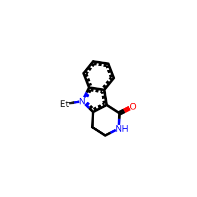 CCn1c2c(c3ccccc31)C(=O)NCC2